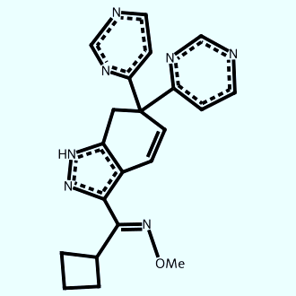 CON=C(c1n[nH]c2c1C=CC(c1ccncn1)(c1ccncn1)C2)C1CCC1